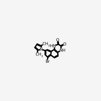 Cc1ccc(C)n1-c1cc(Br)c2ccc3[nH]c(=O)c(=O)[nH]c3c2c1